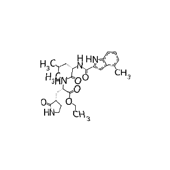 CCOC(=O)[C@H](C[C@@H]1CCNC1=O)NC(=O)[C@H](CC(C)C)NC(=O)c1cc2c(C)cccc2[nH]1